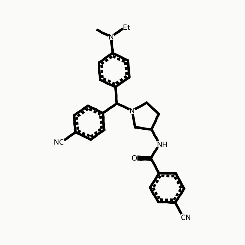 CCN(C)c1ccc(C(c2ccc(C#N)cc2)N2CCC(NC(=O)c3ccc(C#N)cc3)C2)cc1